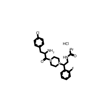 CC(C)C(=O)NCC(c1ccccc1F)N1CCN(C(=O)C(N)Cc2ccc(Cl)cc2)CC1.Cl